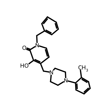 Cc1ccccc1N1CCN(Cc2ccn(Cc3ccccc3)c(=O)c2O)CC1